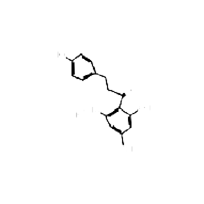 O=C(CCc1ccc(O)cc1)c1c(O)cc(O)cc1O.[K].[K]